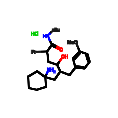 CCCCNC(=O)C(CC(O)C(Cc1cccc(OC)c1)CC1(N)CCCCC1)C(C)C.Cl